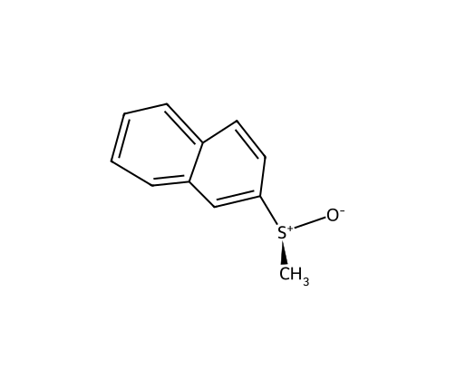 C[S@+]([O-])c1ccc2ccccc2c1